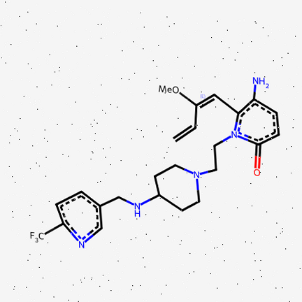 C=C/C(=C\c1c(N)ccc(=O)n1CCN1CCC(NCc2ccc(C(F)(F)F)nc2)CC1)OC